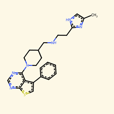 Cc1c[nH]c(CCNCC2CCN(c3ncnc4scc(-c5ccccc5)c34)CC2)n1